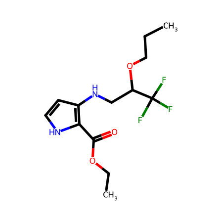 CCCOC(CNc1cc[nH]c1C(=O)OCC)C(F)(F)F